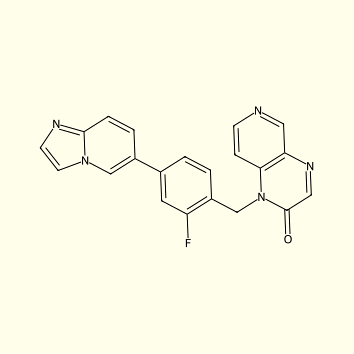 O=c1cnc2cnccc2n1Cc1ccc(-c2ccc3nccn3c2)cc1F